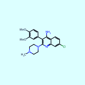 COc1ccc(-c2c(N3CCN(C)CC3)nc3cc(Cl)ccc3c2N)cc1OC